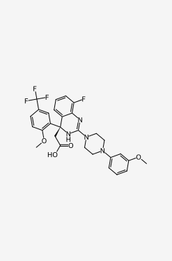 COc1cccc(N2CCN(C3=Nc4c(F)cccc4[C@@](CC(=O)O)(c4cc(C(F)(F)F)ccc4OC)N3)CC2)c1